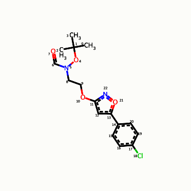 CC(C)(C)ON(C=O)CCOc1cc(-c2ccc(Cl)cc2)on1